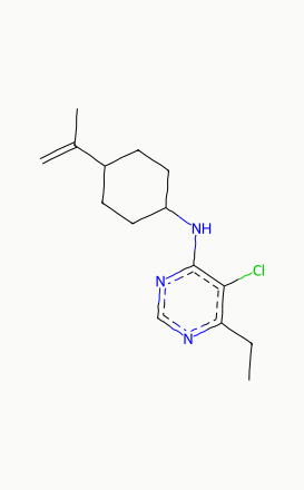 C=C(C)C1CCC(Nc2ncnc(CC)c2Cl)CC1